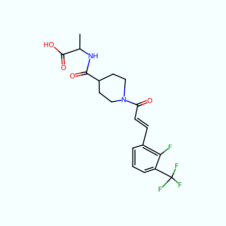 CC(NC(=O)C1CCN(C(=O)C=Cc2cccc(C(F)(F)F)c2F)CC1)C(=O)O